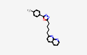 FC(F)(F)c1ccc(-c2nnc(CCCCc3ccc4cccnc4n3)o2)cc1